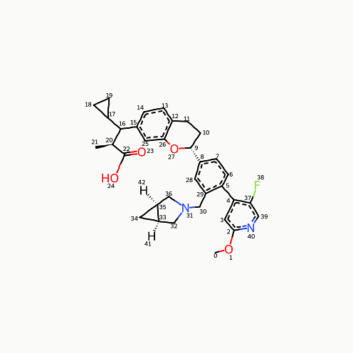 COc1cc(-c2ccc([C@H]3CCc4ccc(C(C5CC5)[C@H](C)C(=O)O)cc4O3)cc2CN2C[C@H]3C[C@H]3C2)c(F)cn1